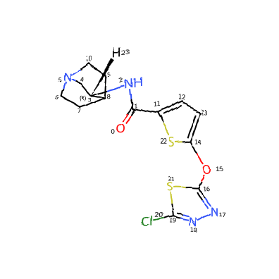 O=C(N[C@H]1CN2CCC1CC2)c1ccc(Oc2nnc(Cl)s2)s1